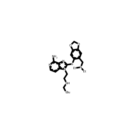 CCN(CC)Cc1cc2c(cc1Sc1nc3c(N)nccc3n1CCNCC(C)(C)C)OCO2